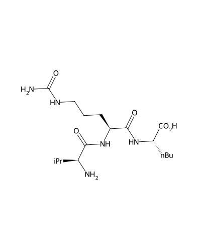 CCCC[C@H](NC(=O)[C@H](CCCNC(N)=O)NC(=O)[C@@H](N)C(C)C)C(=O)O